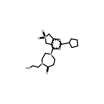 O=C1CCN(c2nc(C3CCCC3)nc3c2CS(=O)(=O)C3)CCN1CCO